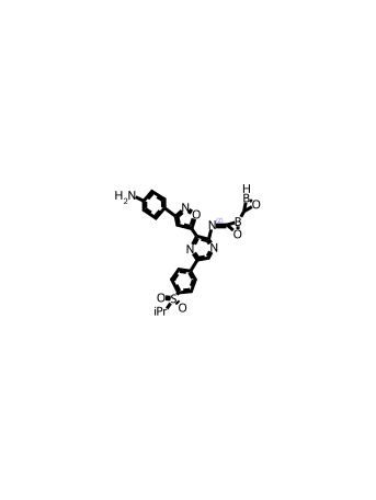 CC(C)S(=O)(=O)c1ccc(-c2cnc(/N=C3\OB3C3BO3)c(-c3cc(-c4ccc(N)cc4)no3)n2)cc1